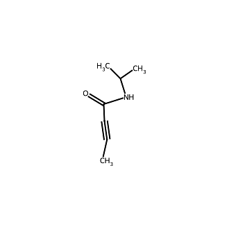 CC#CC(=O)NC(C)C